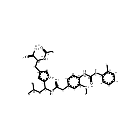 COc1cc(CC(=O)NC(CC(C)C)c2cc(CC(NC(C)=O)C(=O)O)co2)ccc1NC(=O)Nc1ccccc1C